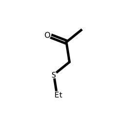 CCSCC(C)=O